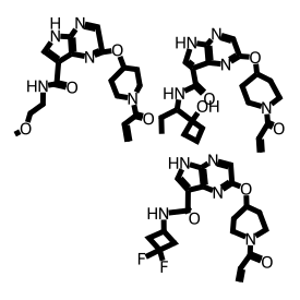 C=CC(=O)N1CCC(Oc2cnc3[nH]cc(C(=O)NC(CC)C4(O)CCC4)c3n2)CC1.C=CC(=O)N1CCC(Oc2cnc3[nH]cc(C(=O)NC4CC(F)(F)C4)c3n2)CC1.C=CC(=O)N1CCC(Oc2cnc3[nH]cc(C(=O)NCCOC)c3n2)CC1